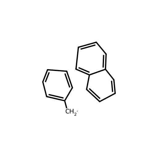 [CH2]c1ccccc1.c1ccc2ccccc2c1